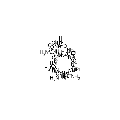 CC(C)C[C@@H]1NC(=O)[C@@H](Cc2ccccc2)NC(=O)[C@H](CCN)NC(=O)[C@@H](NC(=O)[C@H](CCN)NC(=O)[C@@H](NC(=O)[C@@H]2C[C@@H](O)CN2)C(C)O)CCNC(=O)[C@H](C(C)O)NC(=O)[C@H](CCN)NC(=O)[C@H]([C@H](C)CN)NC1=O